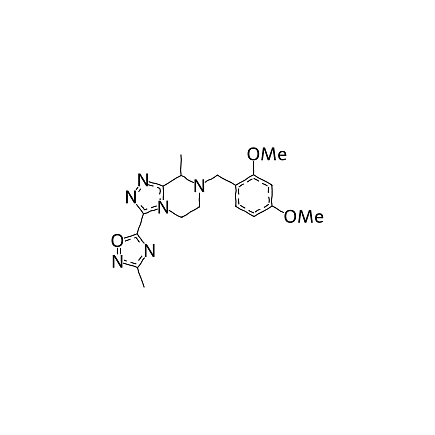 COc1ccc(CN2CCn3c(-c4nc(C)no4)nnc3C2C)c(OC)c1